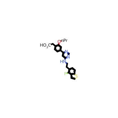 CCCOc1cc(-c2cc(NCCc3ccc4sccc4c3F)ncn2)ccc1CC(=O)O